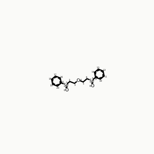 O=[Se](CCOCC[Se](=O)c1ccccc1)c1ccccc1